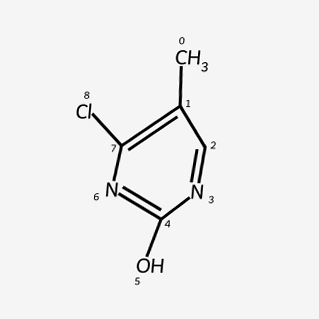 Cc1cnc(O)nc1Cl